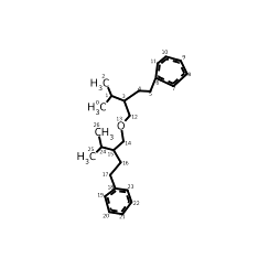 CC(C)C(CCc1ccccc1)COCC(CCc1ccccc1)C(C)C